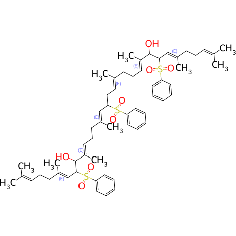 CC(C)=CCC/C(C)=C/C(C(O)/C(C)=C/CC/C(C)=C/CC(/C=C(\C)CC/C=C(\C)C(O)C(/C=C(\C)CCC=C(C)C)S(=O)(=O)c1ccccc1)S(=O)(=O)c1ccccc1)S(=O)(=O)c1ccccc1